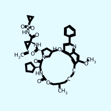 C=C[C@@H]1C[C@]1(NC(=O)[C@@H]1C[C@@H]2CN1C(=O)[C@H](C1CCCC1)NC(=O)OCC(C)CCCCc1cc3c(cc(-c4ccccc4)nc3cc1OC)O2)C(=O)NS(=O)(=O)C1CC1